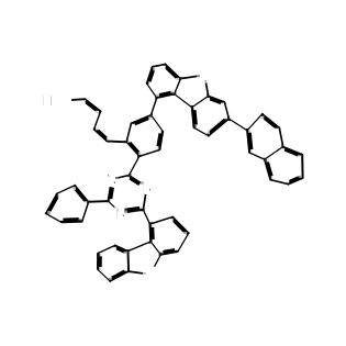 C/C=C\C=C/c1cc(-c2cccc3oc4cc(-c5ccc6ccccc6c5)ccc4c23)ccc1-c1nc(-c2ccccc2)nc(-c2cccc3oc4ccccc4c23)n1